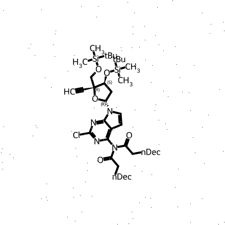 C#C[C@]1(CO[Si](C)(C)C(C)(C)C)O[C@@H](n2ccc3c(N(C(=O)CCCCCCCCCCC)C(=O)CCCCCCCCCCC)nc(Cl)nc32)C[C@@H]1O[Si](C)(C)C(C)(C)C